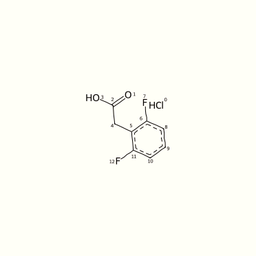 Cl.O=C(O)Cc1c(F)cccc1F